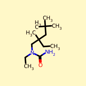 CCN(CC(C)(CC)CC(C)(C)C)C(N)=O